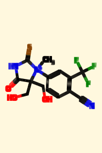 C[N+]1(c2ccc(C#N)c(C(F)(F)F)c2)C(=S)NC(=O)C1(CO)CO